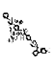 O=C(O)CNCCC[C@H](CSc1ccccc1)Nc1ccc(S(=O)(=O)NC(=O)c2ccc(N3CCN(Cc4ccccc4-c4ccc(Cl)cc4)CC3)cc2)cc1[N+](=O)[O-]